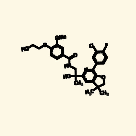 COc1cc(C(=O)NCC(C)(O)c2cc3c(c(-c4ccc(F)c(Cl)c4)n2)OCC3(C)C)ccc1OCCO